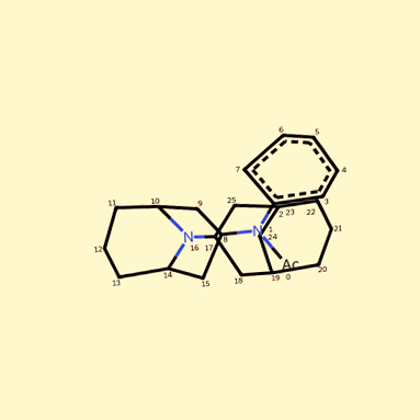 CC(=O)N(c1ccccc1)C1CC2CCCC(C1)N2C1CC2CCCC(C2)C1